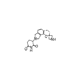 O=C1CCC(N2Cc3ccc4c(c3C2)OC2(CC4)CNC2)C(=O)N1